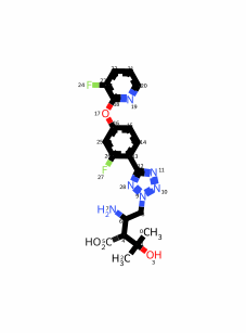 CC(C)(O)C(C(=O)O)C(N)Cn1nnc(-c2ccc(Oc3ncccc3F)cc2F)n1